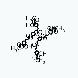 CC(=O)Oc1ccc(/C=C/C(=O)OCc2ccc(OC(=O)/C=C/c3ccc(OC(C)=O)c(O)c3)cc2)cc1O.CC(=O)Oc1ccc(/C=C/C(=O)Oc2ccc(C/C(=C\c3ccc(OC(C)=O)c(O)c3)C(=O)O)cc2)cc1O